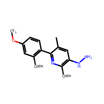 COc1cc(OC(F)(F)F)ccc1-c1nc(OC)c(NN)cc1C